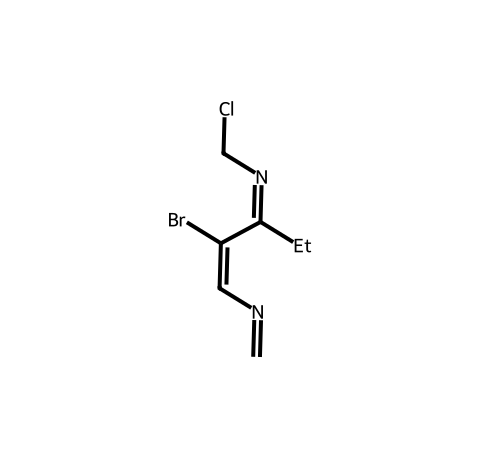 C=N/C=C(Br)\C(CC)=N/CCl